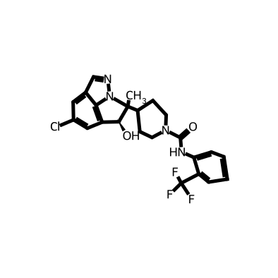 CC1(C2CCN(C(=O)Nc3ccccc3C(F)(F)F)CC2)[C@@H](O)c2cc(Cl)cc3cnn1c23